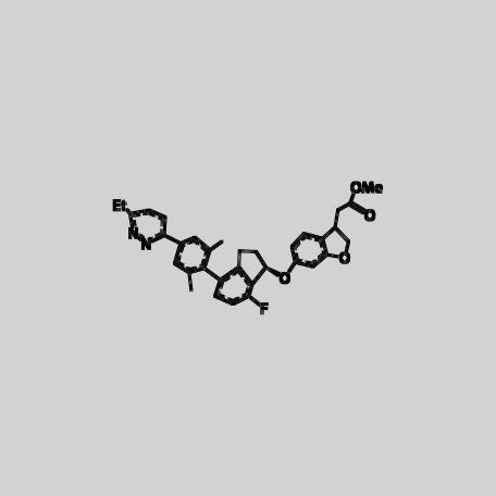 CCc1ccc(-c2cc(C)c(-c3ccc(F)c4c3CC[C@H]4Oc3ccc4c(c3)OCC4CC(=O)OC)c(C)c2)nn1